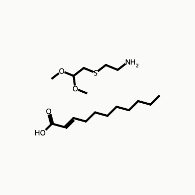 CCCCCCCCC=CC(=O)O.COC(CSCCN)OC